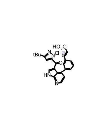 Cn1nc(C(C)(C)C)cc1C(=O)c1c[nH]c2nccc(-c3cccc(/C=C/C(=O)O)c3)c12